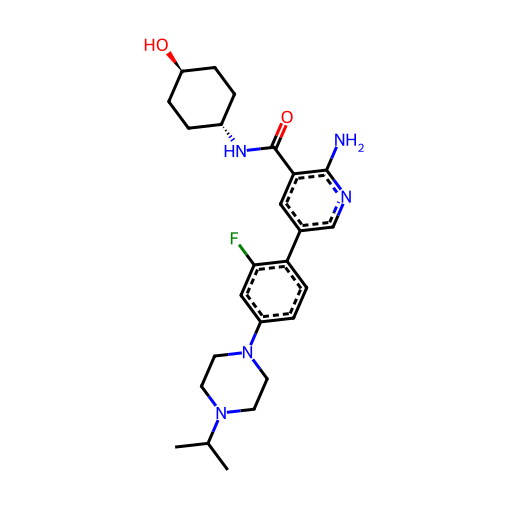 CC(C)N1CCN(c2ccc(-c3cnc(N)c(C(=O)N[C@H]4CC[C@H](O)CC4)c3)c(F)c2)CC1